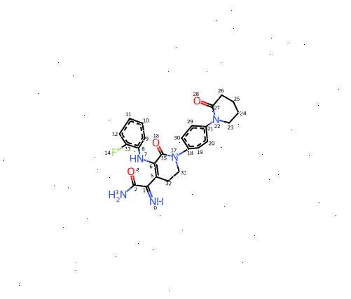 N=C(C(N)=O)C1=C(Nc2ccccc2F)C(=O)N(c2ccc(N3CCCCC3=O)cc2)CC1